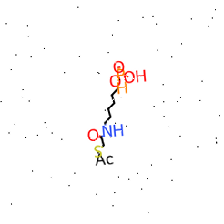 CC(=O)SCC(=O)NCCCCCCO[PH](=O)O